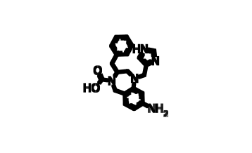 Nc1ccc2c(c1)N(Cc1c[nH]cn1)CC(Cc1ccccc1)N(C(=O)O)C2